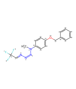 CN(/N=N\N=C\C(F)(F)F)c1ccc(OCc2ccccc2)cc1